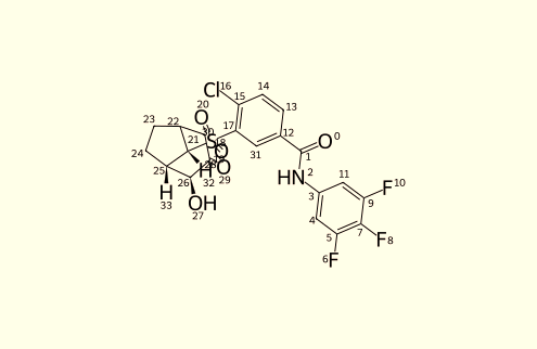 O=C(Nc1cc(F)c(F)c(F)c1)c1ccc(Cl)c(S(=O)(=O)[C@H]2C3CC[C@H]2[C@H](O)C(=O)C3)c1